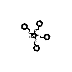 c1ccc(COc2[nH]c(OCc3ccccc3)c(OCc3ccccc3)c2OCc2ccccc2)cc1